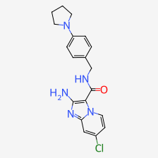 Nc1nc2cc(Cl)ccn2c1C(=O)NCc1ccc(N2CCCC2)cc1